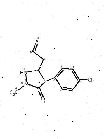 O=C1N(c2ccc(Cl)cc2)C(CC=S)NN1C(Cl)(Cl)Cl